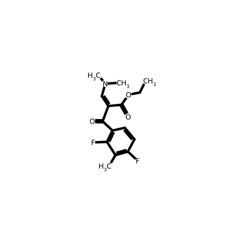 CCOC(=O)C(=CN(C)C)C(=O)c1ccc(F)c(C)c1F